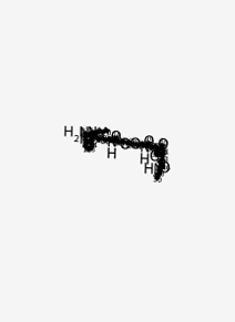 CCCCc1nc2c(N)nc3ccccc3c2n1CCCCNC(=O)CCOCCOCCNC(=O)CCN1C(=O)CC(SCC(=O)NCCC)C1=O